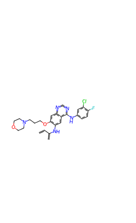 C=CC(=C)Nc1cc2c(Nc3ccc(F)c(Cl)c3)ncnc2cc1OCCCN1CCOCC1